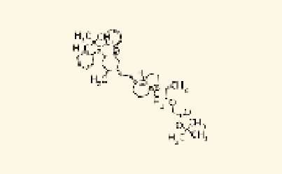 C=C1CC([Si](c2ccccc2)(c2ccccc2)C(C)(C)C)C(=O)CC1=CC=C1CCC[C@]2(C)[C@@H](C(=C)COCC(=O)OC(C)(C)C)CC[C@@H]12